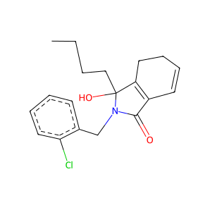 CCCCC1(O)C2=C(C=CCC2)C(=O)N1Cc1ccccc1Cl